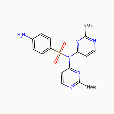 CNc1nccc(N(c2ccnc(NC)n2)S(=O)(=O)c2ccc(N)cc2)n1